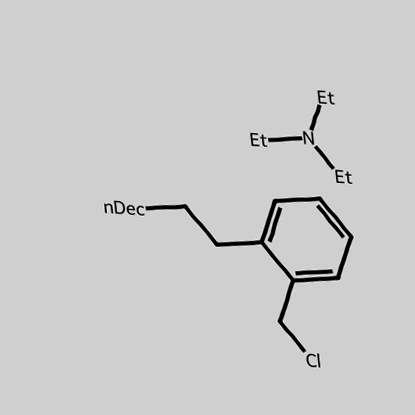 CCCCCCCCCCCCc1ccccc1CCl.CCN(CC)CC